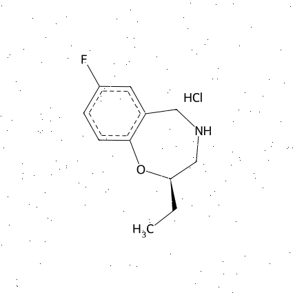 CC[C@@H]1CNCc2cc(F)ccc2O1.Cl